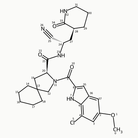 COc1cc(Cl)c2[nH]c(C(=O)N3CC4(CCCCC4)C[C@H]3C(=O)N[C@H](C#N)C[C@@H]3CCCNC3=O)cc2c1